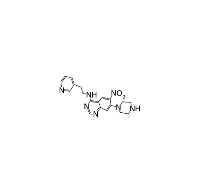 O=[N+]([O-])c1cc2c(NCCc3cccnc3)ncnc2cc1N1CCNCC1